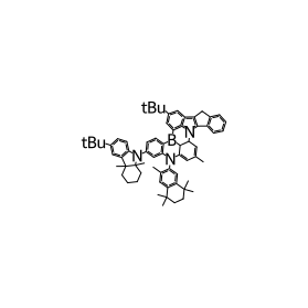 CC1=CC2C3B(c4ccc(N5c6ccc(C(C)(C)C)cc6C6(C)CCCCC56C)cc4N(c4cc5c(cc4C)C(C)(C)CCC5(C)C)C3=C1)c1cc(C(C)(C)C)cc3c4c(n2c13)-c1ccccc1C4